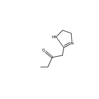 CCC(=O)CC1=NCCN1